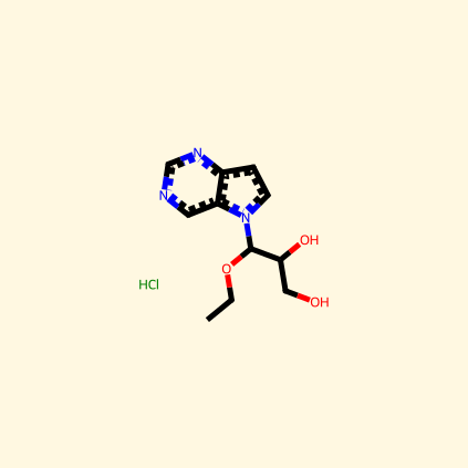 CCOC(C(O)CO)n1ccc2ncncc21.Cl